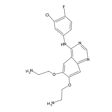 NCCOc1cc2ncnc(Nc3ccc(F)c(Cl)c3)c2cc1OCCN